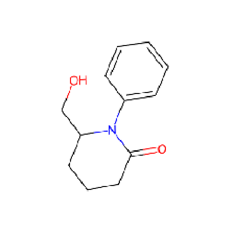 O=C1CCCC(CO)N1c1ccccc1